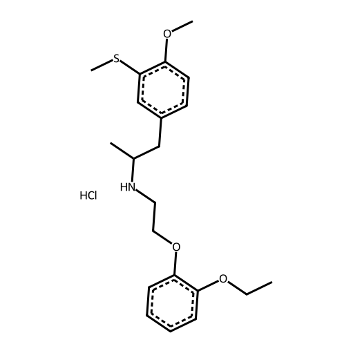 CCOc1ccccc1OCCNC(C)Cc1ccc(OC)c(SC)c1.Cl